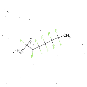 CC(C)(F)C(F)C(F)(F)C(F)(F)C(F)(F)C(C)(F)F